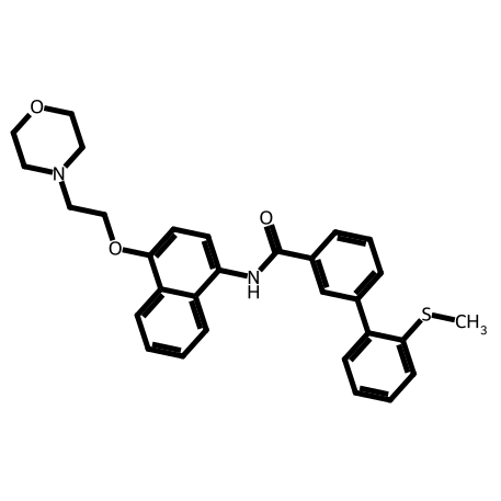 CSc1ccccc1-c1cccc(C(=O)Nc2ccc(OCCN3CCOCC3)c3ccccc23)c1